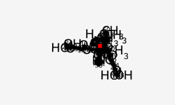 COc1ccccc1Oc1c(OCCOC(=O)CCCCON(O)O)nc(-c2ncccn2)nc1N(C(C)OC(=O)OCCCCON(O)O)S(=O)(=O)c1ccc(C(C)(C)C)cc1